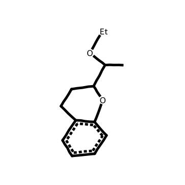 CCOC(C)C1CCc2ccccc2O1